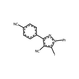 CC(C)n1nc(-c2ccc(C#N)cc2)c(C#N)c1I